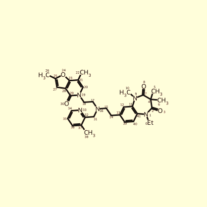 CCN1C(=O)C(C)(C)C(=O)N(C)c2cc(CCN(CCn3cc(C)c4oc(C)cc4c3=O)Cc3ncccc3C)ccc21